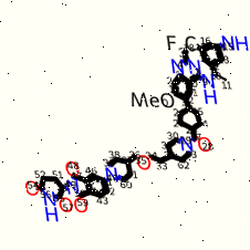 COc1cc2nc(C)nc(N[C@H](C)c3cc(N)cc(C(F)(F)F)c3)c2cc1C1CCC(C(=O)N2CCC(CCOCC3CCN(c4ccc5c(c4)C(=O)N(C4CCC(=O)NC4=O)C5=O)CC3)CC2)CC1